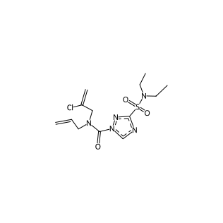 C=CCN(CC(=C)Cl)C(=O)n1cnc(S(=O)(=O)N(CC)CC)n1